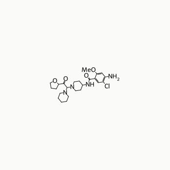 COc1cc(N)c(Cl)cc1C(=O)NC1CCN(C(C(=O)C2CCCO2)N2CCCCC2)CC1